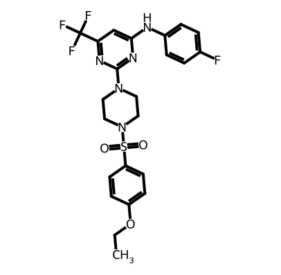 CCOc1ccc(S(=O)(=O)N2CCN(c3nc(Nc4ccc(F)cc4)cc(C(F)(F)F)n3)CC2)cc1